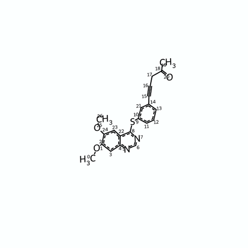 COc1cc2ncnc(Sc3cccc(C#CCC(C)=O)c3)c2cc1OC